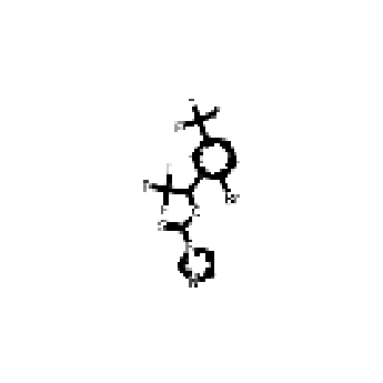 FC(F)(F)c1ccc(Br)c(C(OC(=S)n2ccnc2)C(F)(F)F)c1